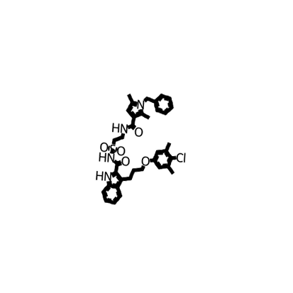 Cc1cc(OCCCc2c(C(=O)NS(=O)(=O)CCNC(=O)c3cc(C)n(Cc4ccccc4)c3C)[nH]c3ccccc23)cc(C)c1Cl